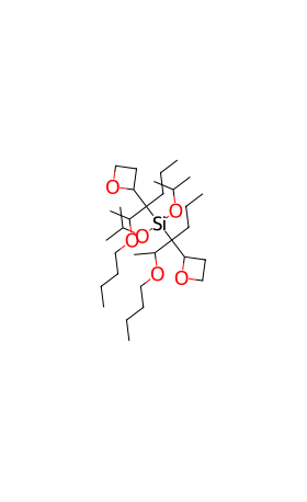 CCCCOC(C)C(CCC)(C1CCO1)[Si](OC(C)C)(OC(C)C)C(CCC)(C(C)OCCCC)C1CCO1